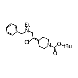 CCN(CC(Cl)=C1CCN(C(=O)OC(C)(C)C)CC1)Cc1ccccc1